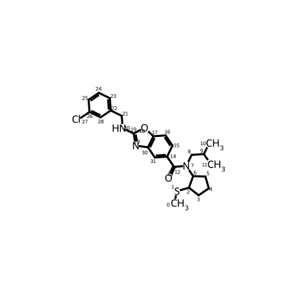 CSC1CCCC1N(CC(C)C)C(=O)c1ccc2oc(NCc3cccc(Cl)c3)nc2c1